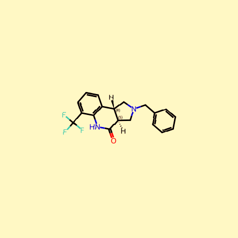 O=C1Nc2c(cccc2C(F)(F)F)[C@@H]2CN(Cc3ccccc3)C[C@@H]12